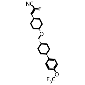 N#CC(F)=C[C@H]1CC[C@H](OC[C@H]2CC[C@H](c3ccc(OC(F)(F)F)cc3)CC2)CC1